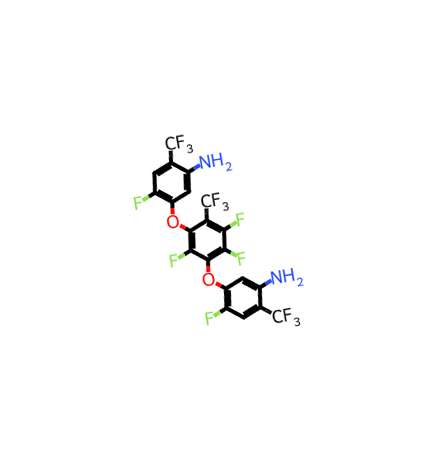 Nc1cc(Oc2c(F)c(F)c(C(F)(F)F)c(Oc3cc(N)c(C(F)(F)F)cc3F)c2F)c(F)cc1C(F)(F)F